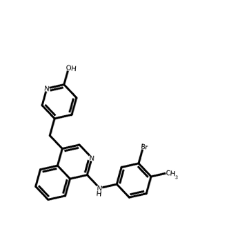 Cc1ccc(Nc2ncc(Cc3ccc(O)nc3)c3ccccc23)cc1Br